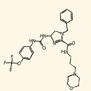 O=C(Nc1ccc(OC(F)(F)F)cc1)NC1CN(Cc2ccccc2)C(C(=O)NCCCN2CCOCC2)=N1